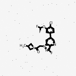 CC1CN(C(=O)Cn2nc(F)c3ncc(-c4ccc(Cl)c(OC(F)F)c4)cc32)C1